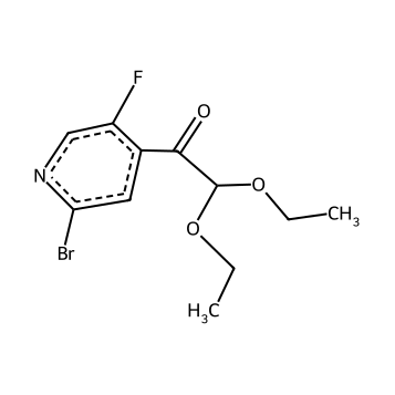 CCOC(OCC)C(=O)c1cc(Br)ncc1F